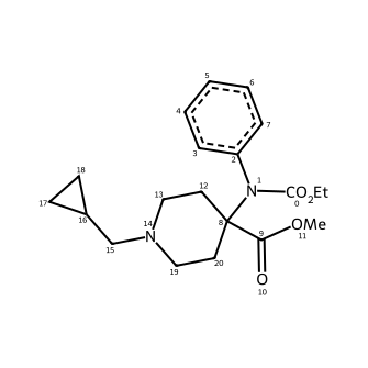 CCOC(=O)N(c1ccccc1)C1(C(=O)OC)CCN(CC2CC2)CC1